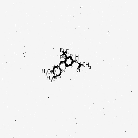 CC(=O)Nc1ccc(CN2CCN(C)[C@H](C)C2)c(C(F)(F)F)c1